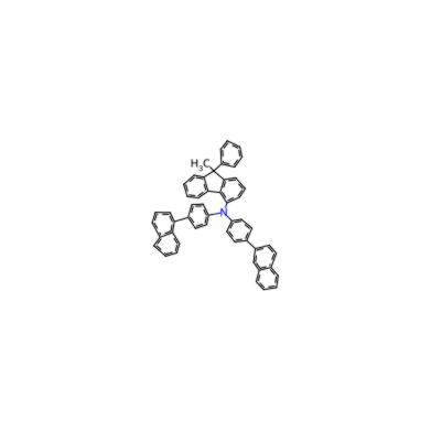 CC1(c2ccccc2)c2ccccc2-c2c(N(c3ccc(-c4ccc5ccccc5c4)cc3)c3ccc(-c4cccc5ccccc45)cc3)cccc21